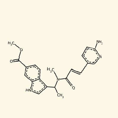 COC(=O)c1ccc2c(C(C)N(C)C(=O)C=Cc3ccc(N)nc3)c[nH]c2c1